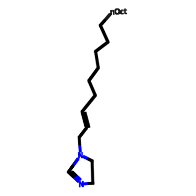 CCCCCCCCCCCCCCC=CCN1C=NCC1